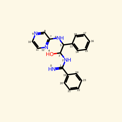 N=C(NC(O)C(Nc1cnccn1)c1ccccc1)c1ccccc1